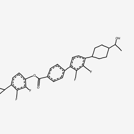 CC(O)C1CCC(c2ccc(-c3ccc(C(=O)Oc4ccc(C5CO5)c(F)c4F)cc3)c(F)c2F)CC1